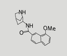 COc1cccc2ccc(C(=O)NC3CC4CNC3C4)cc12